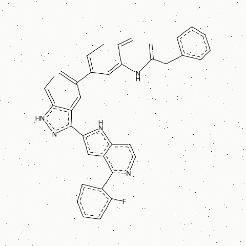 C=C/C(=C\C(=C/C)C(=C)/C=c1/c(-c2cc3c(-c4ccccc4F)nccc3[nH]2)n[nH]/c1=C/C)NC(=C)Cc1ccccc1